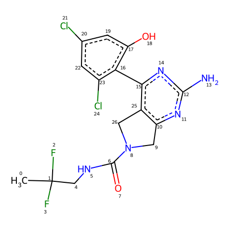 CC(F)(F)CNC(=O)N1Cc2nc(N)nc(-c3c(O)cc(Cl)cc3Cl)c2C1